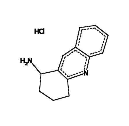 Cl.NC1CCCc2nc3ccccc3cc21